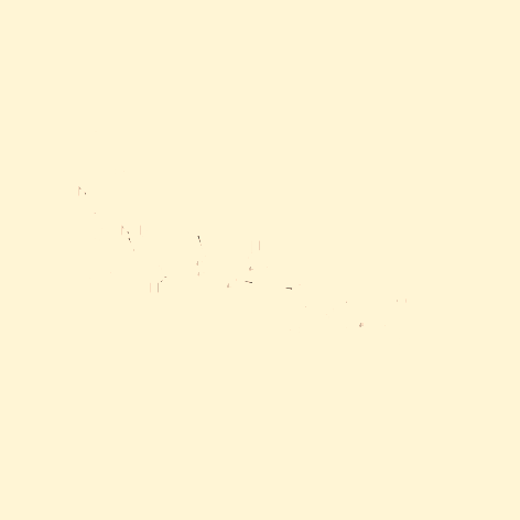 CC(C)C1=C2[C@H]3CC[C@@H]4[C@@]5(C)CC[C@H](OC(=O)[C@H]6C[C@@H](C(=O)OCc7ccccc7)C6(C)C)C(C)(C)[C@@H]5CC[C@@]4(C)[C@]3(C)CC[C@@]2(NC(=O)C(C)(C)NC(=O)OC(C)(C)C)CC1=O